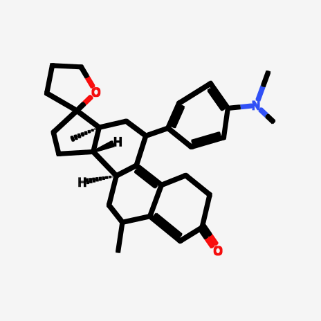 CC1C[C@@H]2C(=C3CCC(=O)C=C31)C(c1ccc(N(C)C)cc1)C[C@@]1(C)[C@H]2CCC12CCCO2